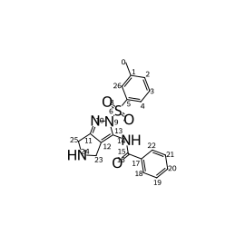 Cc1cccc(S(=O)(=O)n2nc3c(c2NC(=O)c2ccccc2)CNC3)c1